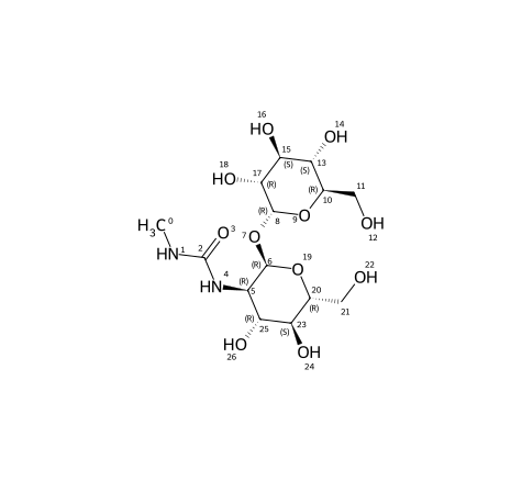 CNC(=O)N[C@H]1[C@@H](O[C@H]2O[C@H](CO)[C@@H](O)[C@H](O)[C@H]2O)O[C@H](CO)[C@@H](O)[C@@H]1O